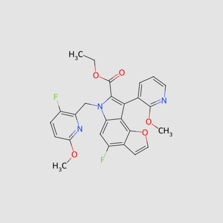 CCOC(=O)c1c(-c2cccnc2OC)c2c3occc3c(F)cc2n1Cc1nc(OC)ccc1F